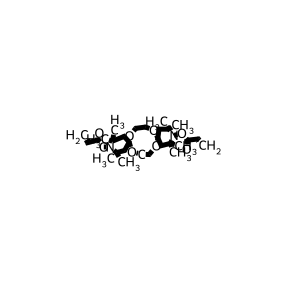 C=CC(=O)ON1C(C)(C)CC2(CC1(C)C)OCCOC1(CC(C)(C)N(OC(=O)C=C)C(C)(C)C1)OCCO2